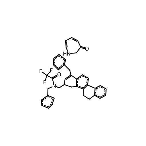 O=C(N(Cc1ccccc1)CC1C=C(Cc2ccccc2)c2ccc3c(c2C1)CCc1ccccc1-3)C(F)(F)F.O=C1C=CC=CNC1